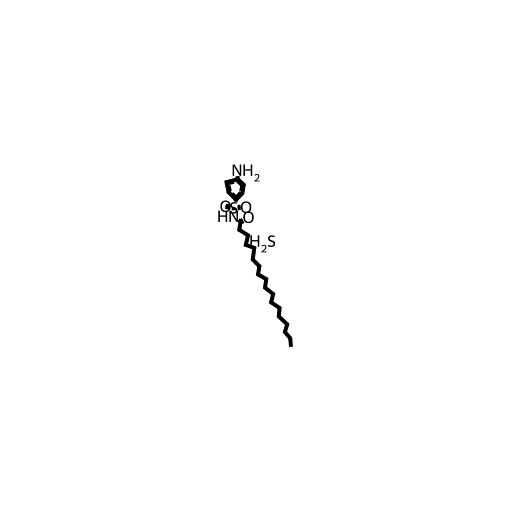 CCCCCCCCCCCCCCCCCC(=O)NS(=O)(=O)c1ccc(N)cc1.S